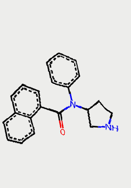 O=C(c1cccc2ccccc12)N(c1ccccc1)C1CCNC1